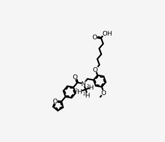 [2H]C([2H])([2H])N(Cc1cc(OC)ccc1OCCCCCC(=O)O)C(=O)c1ccc(-c2ccco2)cc1